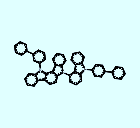 c1ccc(-c2ccc(-n3c4ccccc4c4c(-n5c6ccccc6c6c5ccc5c7ccccc7n(-c7cccc(-c8ccccc8)c7)c56)cccc43)cc2)cc1